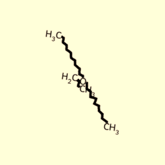 C=CCC.CCCCCCCCCCCCOCCCCCCCCCCCC